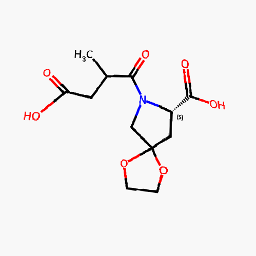 CC(CC(=O)O)C(=O)N1CC2(C[C@H]1C(=O)O)OCCO2